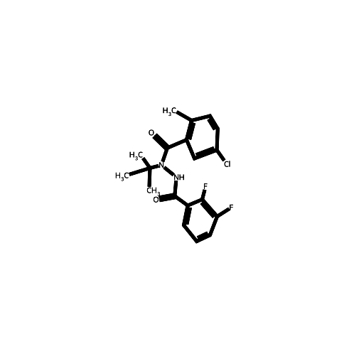 Cc1ccc(Cl)cc1C(=O)N(NC(=O)c1cccc(F)c1F)C(C)(C)C